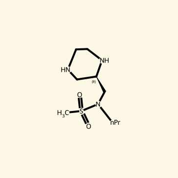 CCCN(C[C@H]1CNCCN1)S(C)(=O)=O